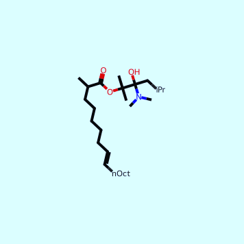 CCCCCCCCC=CCCCCCC(C)C(=O)OC(C)(C)C(O)(CC(C)C)N(C)C